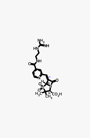 CC1(C)[C@H](C(=O)O)N2C(=O)/C(=C/c3cc(C(=O)NCCNC(=N)N)ccn3)[C@H]2S1(=O)=O